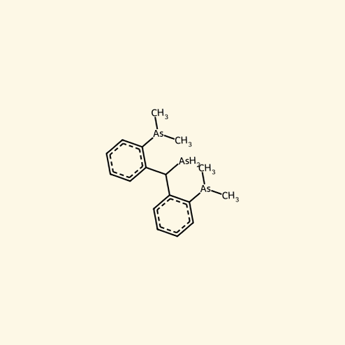 C[As](C)c1ccccc1C([AsH2])c1ccccc1[As](C)C